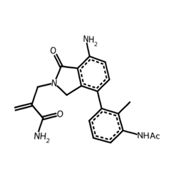 C=C(CN1Cc2c(-c3cccc(NC(C)=O)c3C)ccc(N)c2C1=O)C(N)=O